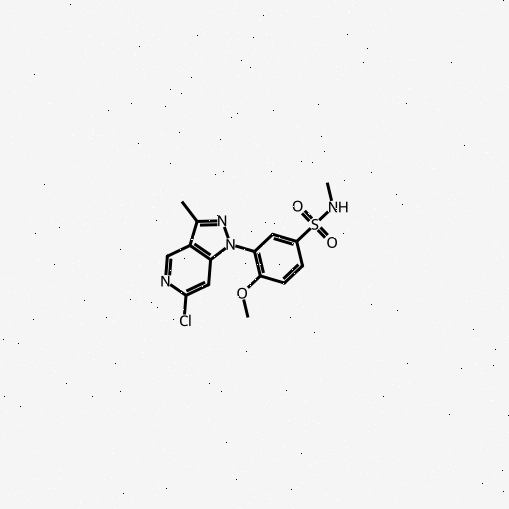 CNS(=O)(=O)c1ccc(OC)c(-n2nc(C)c3cnc(Cl)cc32)c1